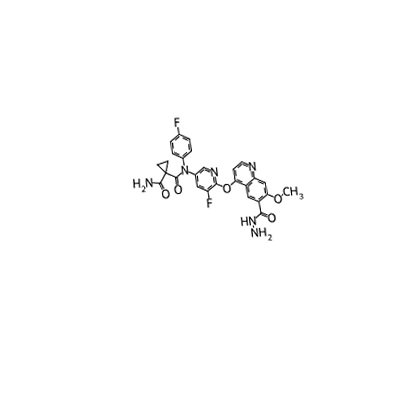 COc1cc2nccc(Oc3ncc(N(C(=O)C4(C(N)=O)CC4)c4ccc(F)cc4)cc3F)c2cc1C(=O)NN